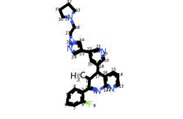 CC1C(c2ccccc2F)=Nc2ncccc2C1c1cncc(-c2cnn(CCN3CCCC3)c2)c1